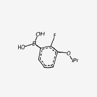 CC(C)Oc1cccc(B(O)O)c1F